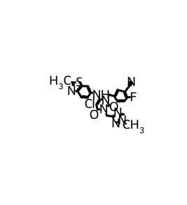 Cc1nc2cc(Cl)c(Nc3cc(=O)n(Cc4ncn(C)n4)c(=O)n3Cc3ccc(F)c(C#N)c3)cc2s1